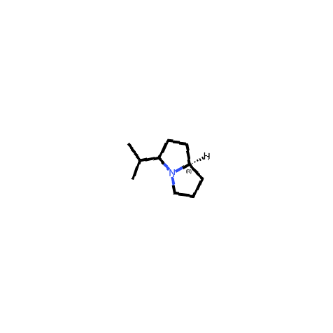 CC(C)C1CC[C@H]2CCCN12